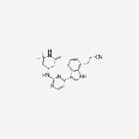 C=C1CC(Nc2nccc(-c3c[nH]c4c(CCC#N)cccc34)n2)CC(C)(C)N1